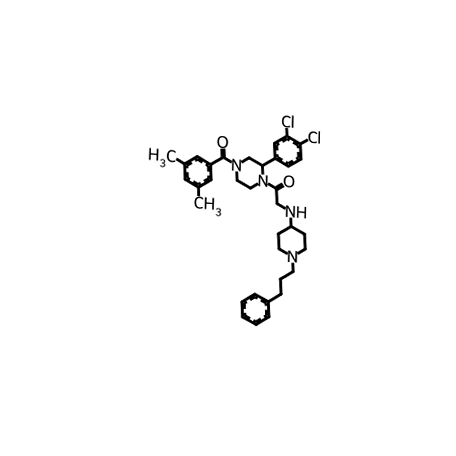 Cc1cc(C)cc(C(=O)N2CCN(C(=O)CNC3CCN(CCCc4ccccc4)CC3)C(c3ccc(Cl)c(Cl)c3)C2)c1